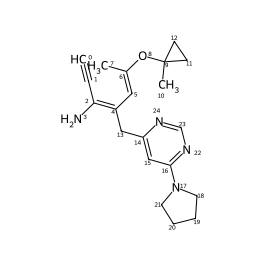 C#C/C(N)=C(\C=C(/C)OC1(C)CC1)Cc1cc(N2CCCC2)ncn1